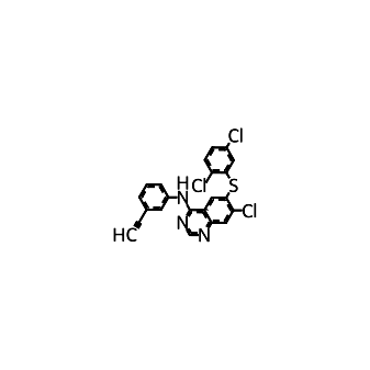 C#Cc1cccc(Nc2ncnc3cc(Cl)c(Sc4cc(Cl)ccc4Cl)cc23)c1